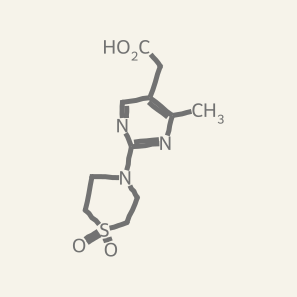 Cc1nc(N2CCS(=O)(=O)CC2)ncc1CC(=O)O